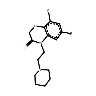 O=C1COc2c(F)cc(F)cc2N1CCN1CC[CH]CC1